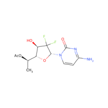 CC(=O)O[C@H](C)[C@H]1O[C@@H](n2ccc(N)nc2=O)C(F)(F)[C@@H]1O